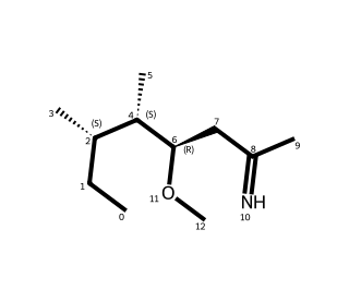 CC[C@H](C)[C@H](C)[C@@H](CC(C)=N)OC